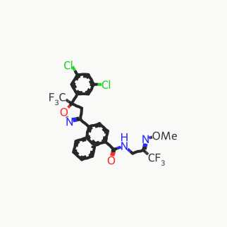 CON=C(CNC(=O)c1ccc(C2=NOC(c3cc(Cl)cc(Cl)c3)(C(F)(F)F)C2)c2ccccc12)C(F)(F)F